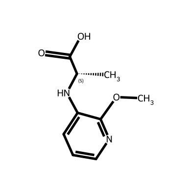 COc1ncccc1N[C@@H](C)C(=O)O